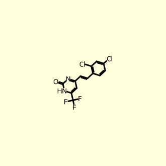 O=c1nc(/C=C/c2ccc(Cl)cc2Cl)cc(C(F)(F)F)[nH]1